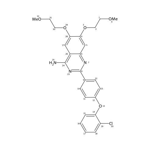 COCCOc1cc2nc(-c3ccc(Oc4ccccc4Cl)cc3)nc(N)c2cc1OCCOC